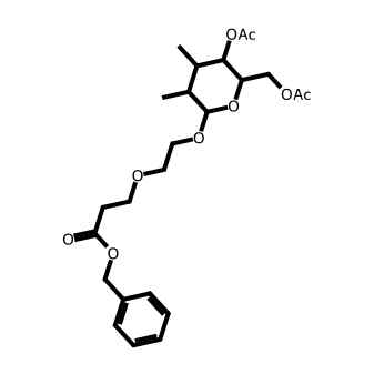 CC(=O)OCC1OC(OCCOCCC(=O)OCc2ccccc2)C(C)C(C)C1OC(C)=O